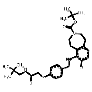 CC(C)(C)CNC(=O)CSc1ccc(CNc2c(Cl)ccc3c2CCN(C(=O)OC(C)(C)C)CC3)cc1